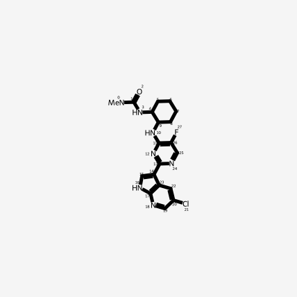 CNC(=O)NC1CCCCC1Nc1nc(-c2c[nH]c3ncc(Cl)cc23)ncc1F